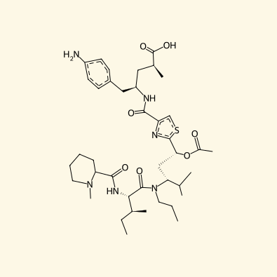 CCCN(C(=O)[C@@H](NC(=O)C1CCCCN1C)[C@@H](C)CC)[C@H](C[C@@H](OC(C)=O)c1nc(C(=O)N[C@@H](Cc2ccc(N)cc2)C[C@H](C)C(=O)O)cs1)C(C)C